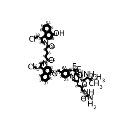 CC(C)[C@H](N)C(=O)N[C@@H](CCCNC(N)=O)CN(C(=O)C(F)(F)F)c1ccc(COc2cc3c(c4ccccc24)[C@H](CCl)CN3C(=O)CCCC(=O)N2C[C@@H](CCl)c3c2cc(O)c2ccccc32)cc1